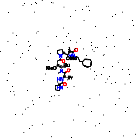 CC[C@H](C)[C@@H]([C@@H](CC(=O)N1CCC[C@H]1C(OC)[C@@H](C)C(=O)NCCC1C=CC=CC=C1)OC)N(C)C(=O)[C@@H](NC(=O)[C@]1(C)CCCN1)C(C)C